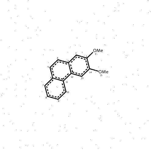 COc1[c]c2ccc3ccccc3c2cc1OC